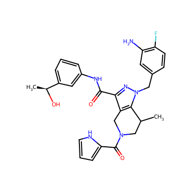 CC1CN(C(=O)c2ccc[nH]2)Cc2c(C(=O)Nc3cccc([C@H](C)O)c3)nn(Cc3ccc(F)c(N)c3)c21